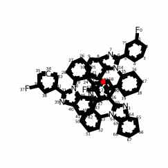 Fc1cccc(-c2nc3ccccc3n2-c2ccccc2-c2nc(-c3ccccc3-n3c(-c4cccc(F)c4)nc4ccccc43)nc(-c3ccccc3-n3c(-c4cccc(F)c4)nc4ccccc43)n2)c1